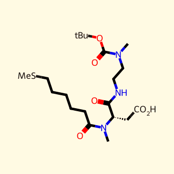 CSCCCCCC(=O)N(C)[C@@H](CC(=O)O)C(=O)NCCN(C)C(=O)OC(C)(C)C